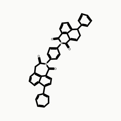 O=C1Cc2cccc3c(C4=CCC=CC=C4)ccc(c23)C(=O)N1c1ccc(N2C(=O)C3=CCC(c4ccccc4)c4cccc(c43)C2=O)cc1